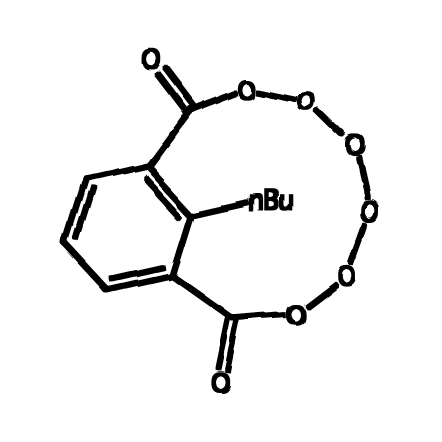 CCCCc1c2cccc1C(=O)OOOOOOC2=O